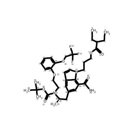 CCC(CC)C(=O)OCCCn1ccc2cc(C[C@@H](C)N(CCOc3ccccc3OCC(F)(F)F)C(=O)OC(C)(C)C)cc(C(N)=O)c21